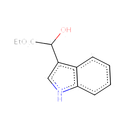 CCOC(=O)C(O)c1c[nH]c2ccccc12